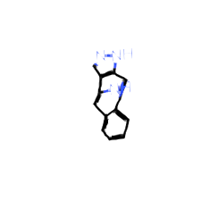 C1=C2NC(=Cc3ccccc32)c2cn[nH]c21